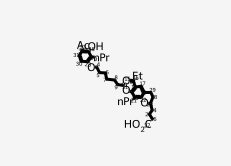 CCCc1c(OCCCCCCCOc2c(C(=O)CC)cc3c(c2CCC)OC(CCCC(=O)O)CC3)ccc(C(C)=O)c1O